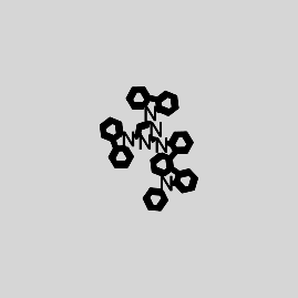 c1ccc(-n2c3ccccc3c3c4c5ccccc5n(-c5nc(-n6c7ccccc7c7ccccc76)cc(-n6c7ccccc7c7ccccc76)n5)c4ccc32)cc1